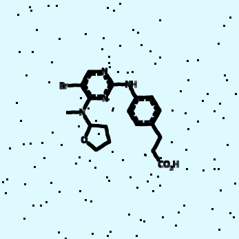 CN(c1nc(Nc2ccc(CCC(=O)O)cc2)ncc1Br)C1CCCO1